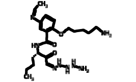 C/C=N\c1ccc(OCCCCCN)c(C(=O)N[C@@H](CCCC)C(=O)/C=N\NNNN)c1